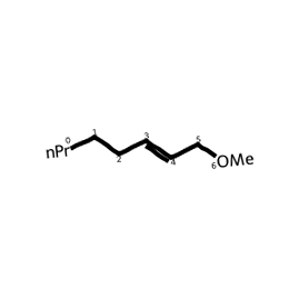 CCCCC/C=[C]/COC